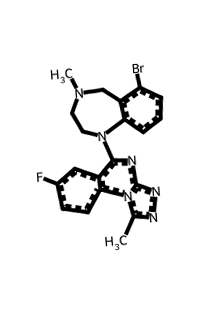 Cc1nnc2nc(N3CCN(C)Cc4c(Br)cccc43)c3cc(F)ccc3n12